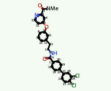 CNC(=O)c1cc(Oc2cccc(CCNC(=O)c3ccc(-c4ccc(Cl)c(Cl)c4)cc3)c2)ccn1